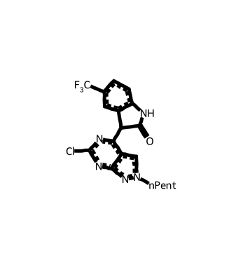 CCCCCn1cc2c(C3C(=O)Nc4ccc(C(F)(F)F)cc43)nc(Cl)nc2n1